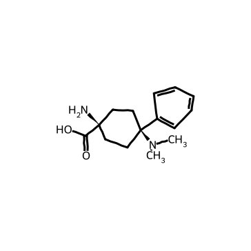 CN(C)[C@]1(c2ccccc2)CC[C@@](N)(C(=O)O)CC1